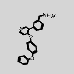 CC(=O)NCc1cccc(-c2cnccc2Oc2ccc(Oc3ccccc3)cc2)c1